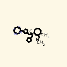 C=NCC1C[C@H](C(C)(CC2CCCC2)CC2CC[C@H](C3=C/C=C\C=C/C=C\3)C2)CCCCC1C